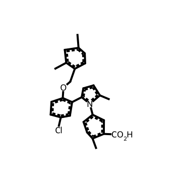 Cc1ccc(COc2ccc(Cl)cc2-c2ccc(C)n2-c2ccc(C)c(C(=O)O)c2)c(C)c1